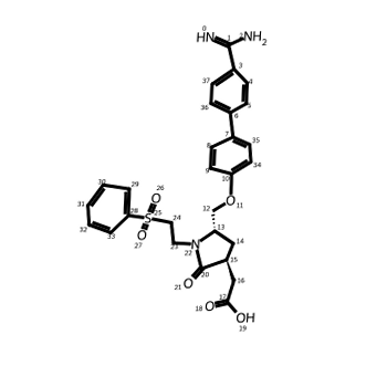 N=C(N)c1ccc(-c2ccc(OC[C@@H]3C[C@@H](CC(=O)O)C(=O)N3CCS(=O)(=O)c3ccccc3)cc2)cc1